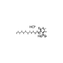 CCCCCCCCCCCCOc1c(F)cccc1C(=O)O.Cl